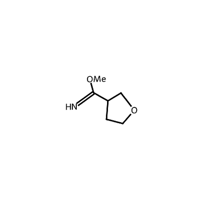 COC(=N)C1CCOC1